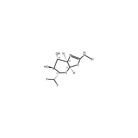 CCNC1=N[C@@H]2[C@@H](O)[C@H](O)[C@@H](C(F)F)S[C@@H]2O1